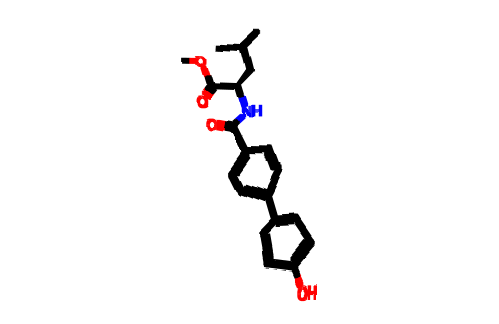 COC(=O)[C@@H](CC(C)C)NC(=O)c1ccc(-c2ccc(O)cc2)cc1